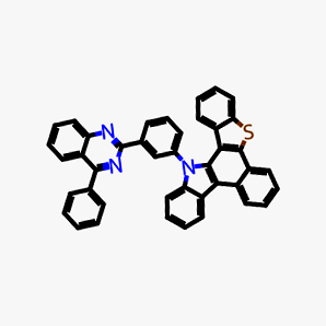 c1ccc(-c2nc(-c3cccc(-n4c5ccccc5c5c6ccccc6c6sc7ccccc7c6c54)c3)nc3ccccc23)cc1